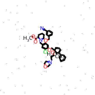 COC(=O)[C@@H]1CCCCN1Cc1cc(Cl)c(OCC2(OCCCN3CCOCC3)C=CC=C(c3ccccc3)C2(C)C)cc1OCc1cccc(C#N)c1